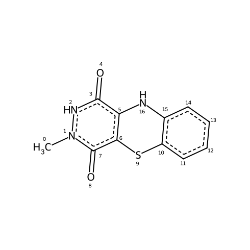 Cn1[nH]c(=O)c2c(c1=O)Sc1ccccc1N2